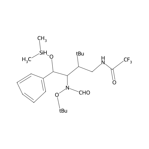 C[SiH](C)OC(c1ccccc1)C(C(CNC(=O)C(F)(F)F)C(C)(C)C)N(C=O)OC(C)(C)C